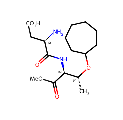 COC(=O)[C@@H](NC(=O)[C@@H](N)CC(=O)O)[C@@H](C)OC1CCCCCC1